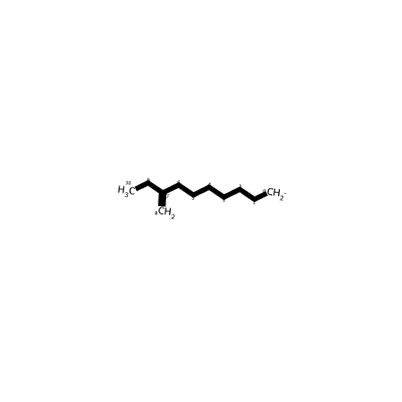 [CH2]CCCCCCC(=C)CC